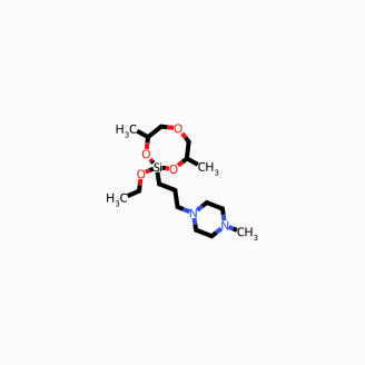 CCO[Si]1(CCCN2CCN(C)CC2)OC(C)COCC(C)O1